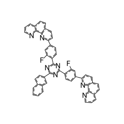 Fc1cc(-c2ccc3ccc4cccnc4c3n2)ccc1-c1nc(-c2ccc3ccccc3c2)nc(-c2ccc(-c3ccc4ccc5cccnc5c4n3)cc2F)n1